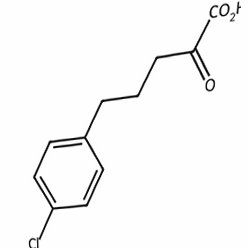 O=C(O)C(=O)CCCc1ccc(Cl)cc1